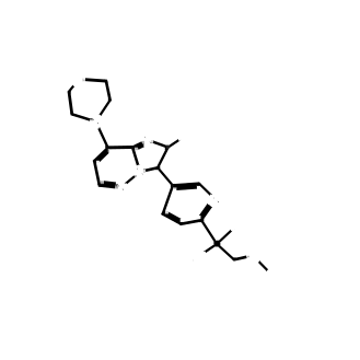 COCC(C)(C)c1ccc(C2C(C)N=C3C(N4CCOCC4)=CC=NN32)cn1